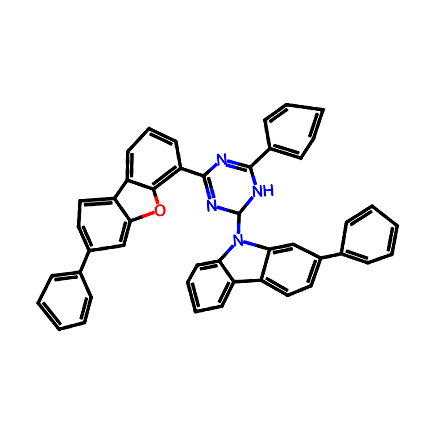 c1ccc(C2=NC(c3cccc4c3oc3cc(-c5ccccc5)ccc34)=NC(n3c4ccccc4c4ccc(-c5ccccc5)cc43)N2)cc1